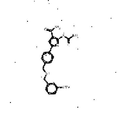 COc1cccc(CNCc2ccc(-c3cc(C(N)=O)c(NC(N)=O)s3)cc2)c1